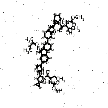 CCC(C)=O.CCC(NC(=O)OC)C(=O)N1CC2(CC2)CC1c1ncc(-c2ccc3c(c2)C(F)(F)c2cc(-c4ccc5nc(C6C7CCC(C7)N6C(=O)C(NC(=O)OC)C(C)C)[nH]c5c4)ccc2-3)[nH]1